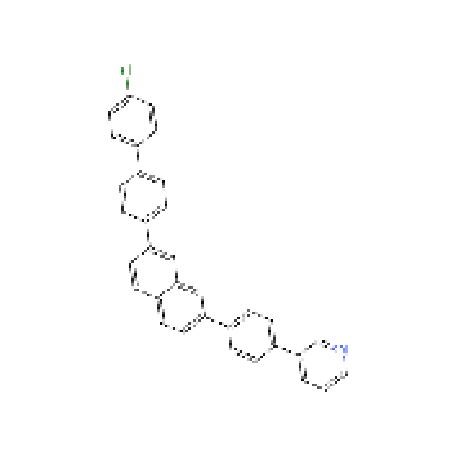 Clc1ccc(-c2ccc(-c3ccc4ccc(-c5ccc(-c6cccnc6)cc5)cc4c3)cc2)cc1